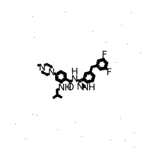 CC(C)CNc1cc(N2CCN(C)CC2)ccc1C(=O)Nc1n[nH]c2ccc(Cc3cc(F)cc(F)c3)cc12